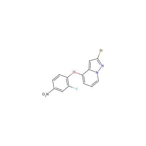 O=[N+]([O-])c1ccc(Oc2cccn3nc(Br)cc23)c(F)c1